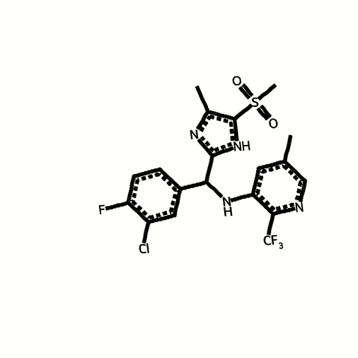 Cc1cnc(C(F)(F)F)c(NC(c2ccc(F)c(Cl)c2)c2nc(C)c(S(C)(=O)=O)[nH]2)c1